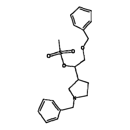 CS(=O)(=O)OC(COCc1ccccc1)C1CCN(Cc2ccccc2)C1